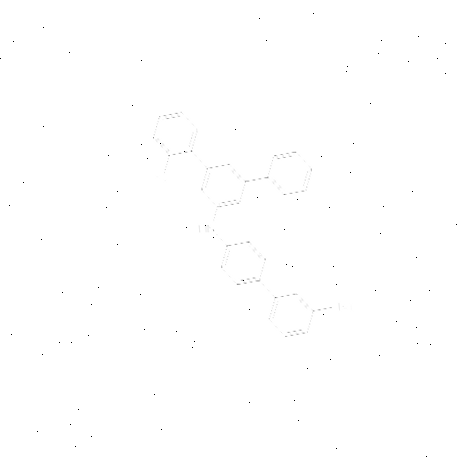 CC(C)(C)c1cccc(-c2ccc(Nc3cc(-c4ccccc4)cc(-c4ccccc4C(C)(C)C)c3)cc2)c1